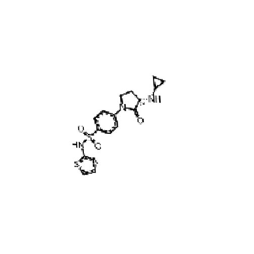 O=C1[C@@H](NC2CC2)CCN1c1ccc(S(=O)(=O)Nc2nccs2)cc1